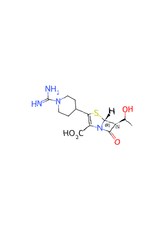 CC(O)[C@H]1C(=O)N2C(C(=O)O)=C(C3CCN(C(=N)N)CC3)S[C@H]12